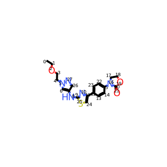 CCOCCn1cc(Nc2nc(-c3ccc(N4CCOC4=O)cc3)cs2)cn1